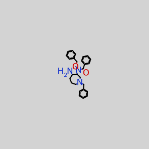 NC1CCCN(Cc2ccccc2)CC1N(OCc1ccccc1)C(=O)c1ccccc1